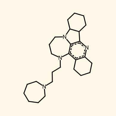 C1CCCN(CCCN2CCCN3c4c(nc5c(c42)CCCC5)C2CCCCC23)CC1